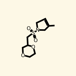 CC1=CCN(S(=O)(=O)CC2COCCO2)C1